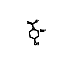 OC1CCN(C(=S)[S-])CC1.[Na+]